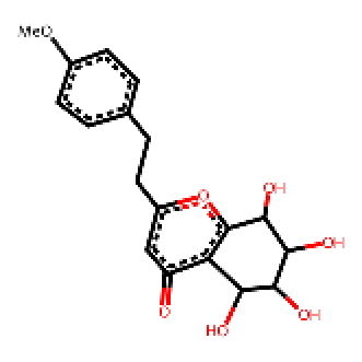 COc1ccc(CCc2cc(=O)c3c(o2)C(O)C(O)C(O)C3O)cc1